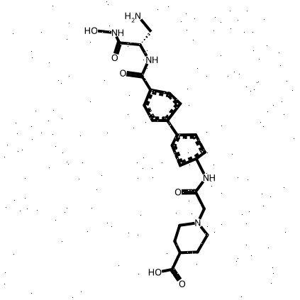 NC[C@H](NC(=O)c1ccc(-c2ccc(NC(=O)CN3CCC(C(=O)O)CC3)cc2)cc1)C(=O)NO